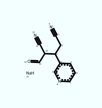 N#CCC(c1cccnc1)C(C#N)C=O.[NaH]